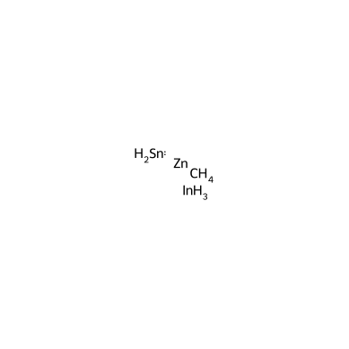 C.[InH3].[SnH2].[Zn]